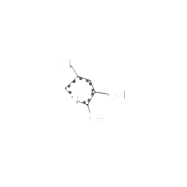 Cc1ncc(Cl)cc1O